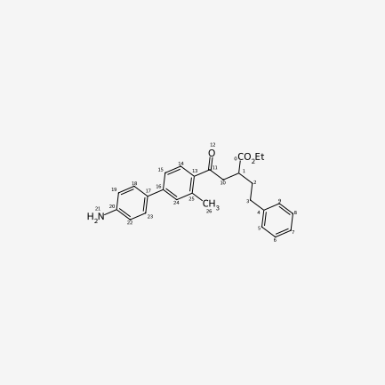 CCOC(=O)C(CCc1ccccc1)CC(=O)c1ccc(-c2ccc(N)cc2)cc1C